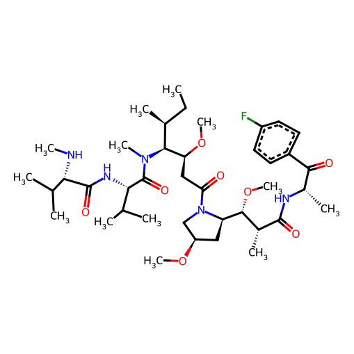 CC[C@H](C)[C@@H]([C@H](CC(=O)N1C[C@H](OC)C[C@@H]1[C@H](OC)[C@@H](C)C(=O)N[C@@H](C)C(=O)c1ccc(F)cc1)OC)N(C)C(=O)[C@@H](NC(=O)[C@@H](NC)C(C)C)C(C)C